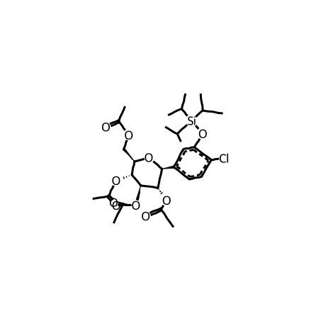 CC(=O)OC[C@H]1O[C@@H](c2ccc(Cl)c(O[Si](C(C)C)(C(C)C)C(C)C)c2)[C@H](OC(C)=O)[C@@H](OC(C)=O)[C@@H]1OC(C)=O